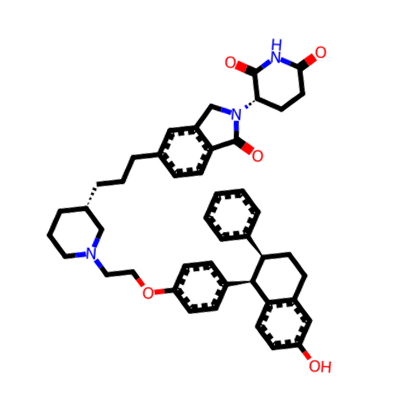 O=C1CC[C@H](N2Cc3cc(CCC[C@H]4CCCN(CCOc5ccc([C@@H]6c7ccc(O)cc7CC[C@@H]6c6ccccc6)cc5)C4)ccc3C2=O)C(=O)N1